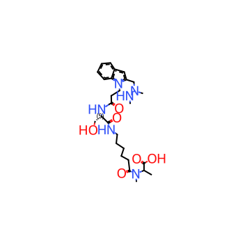 CNN(C)Cc1cc2ccccc2n1CCC(=O)N[C@@H](CO)C(=O)NCCCCCC(=O)N(C)C(C)C(=O)O